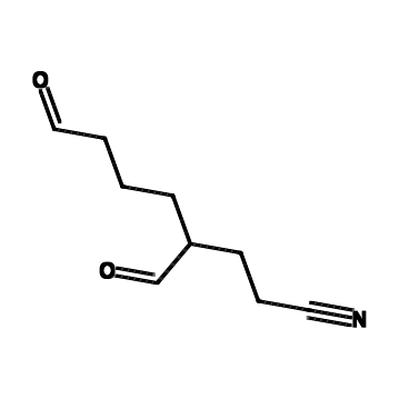 N#CCCC(C=O)CCCC=O